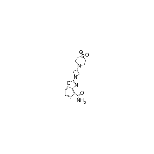 NC(=O)c1[c]ccc2oc(N3CC(N4CCS(=O)(=O)CC4)C3)nc12